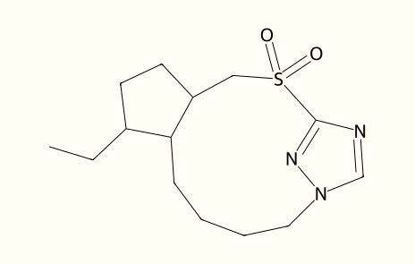 CCC1CCC2CS(=O)(=O)c3ncn(n3)CCCCC12